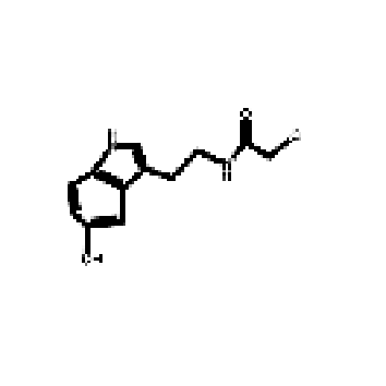 O=C(CCl)NCCc1c[nH]c2ccc(O)cc12